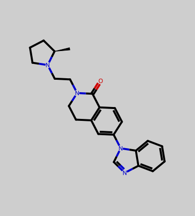 C[C@@H]1CCCN1CCN1CCc2cc(-n3cnc4ccccc43)ccc2C1=O